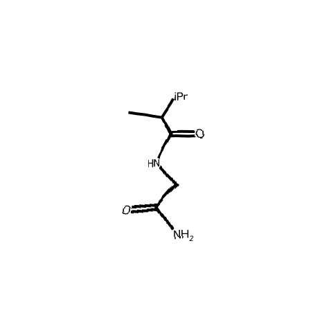 CC(C)C(C)C(=O)NCC(N)=O